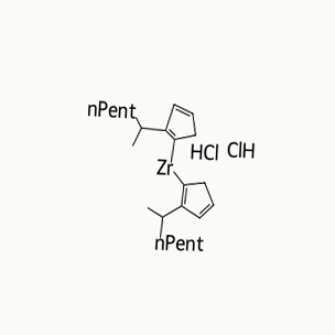 CCCCCC(C)C1=[C]([Zr][C]2=C(C(C)CCCCC)C=CC2)CC=C1.Cl.Cl